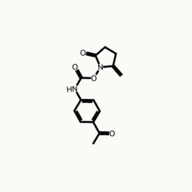 C=C1CCC(=O)N1OC(=O)Nc1ccc(C(C)=O)cc1